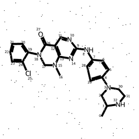 CC1CN(c2ccc(Nc3ncc4c(n3)N(C)CN(c3ccccc3Cl)C4=O)cc2)CCN1